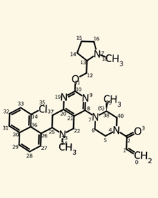 C=CC(=O)N1CCN(c2nc(OCC3CCCN3C)nc3c2CN(C)C(c2cccc4cccc(Cl)c24)C3)[C@@H](C)C1